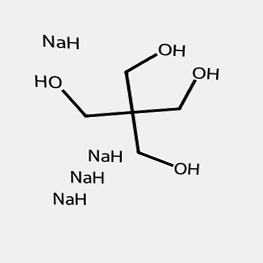 OCC(CO)(CO)CO.[NaH].[NaH].[NaH].[NaH]